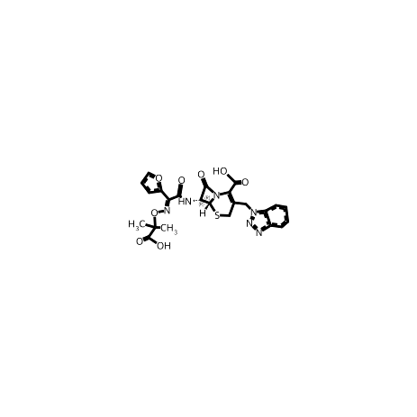 CC(C)(ON=C(C(=O)N[C@@H]1C(=O)N2C(C(=O)O)=C(Cn3nnc4ccccc43)CS[C@H]12)c1ccco1)C(=O)O